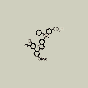 COc1ccc(-c2ccc(Cl)c(Cl)c2)c(-c2ccc3cc(-c4nc5cc(C(=O)O)ccc5n4C4CCCCC4)ccc3n2)c1